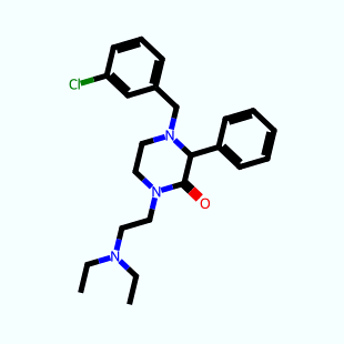 CCN(CC)CCN1CCN(Cc2cccc(Cl)c2)C(c2ccccc2)C1=O